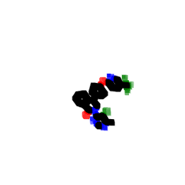 Cc1ncnc(N(CCc2ccc(Oc3ccc(C(F)(F)F)cn3)cc2)C(=O)c2ccccc2)c1Cl